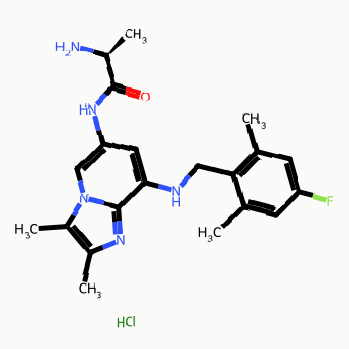 Cc1cc(F)cc(C)c1CNc1cc(NC(=O)[C@H](C)N)cn2c(C)c(C)nc12.Cl